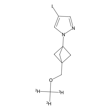 [2H]C([2H])([2H])OCC12CC(n3cc(I)cn3)(C1)C2